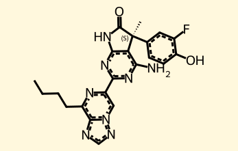 CCCCc1nc(-c2nc(N)c3c(n2)NC(=O)[C@@]3(C)c2ccc(O)c(F)c2)cn2ncnc12